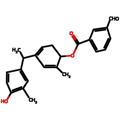 CC1=CC(C(C)c2ccc(O)c(C)c2)=CCC1OC(=O)c1cccc(C=O)c1